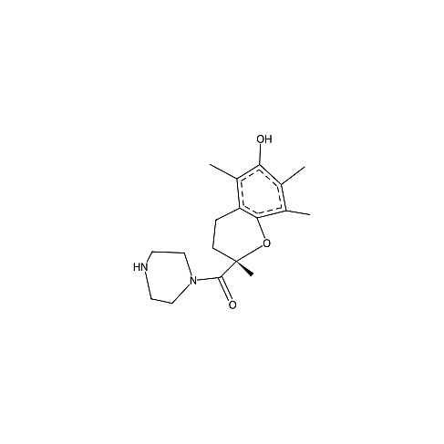 Cc1c(C)c2c(c(C)c1O)CC[C@@](C)(C(=O)N1CCNCC1)O2